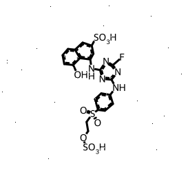 O=S(=O)(O)OCCS(=O)(=O)c1ccc(Nc2nc(F)nc(Nc3cc(S(=O)(=O)O)cc4cccc(O)c34)n2)cc1